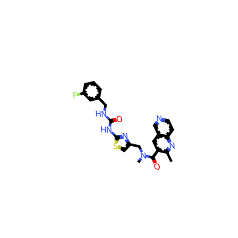 Cc1nc2ccncc2cc1C(=O)N(C)Cc1csc(NC(=O)NCc2cccc(F)c2)n1